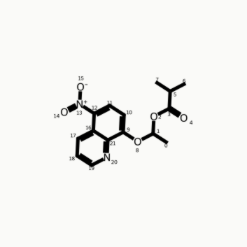 CC(OC(=O)C(C)C)Oc1ccc([N+](=O)[O-])c2cccnc12